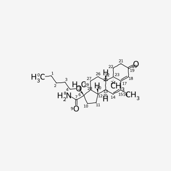 CCCCCO[C@]1(C(N)=O)CC[C@H]2[C@@H]3C=C(C)C4=CC(=O)CC[C@]4(C)[C@H]3CC[C@@]21C